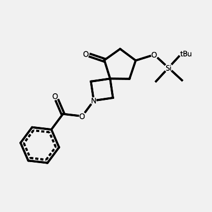 CC(C)(C)[Si](C)(C)OC1CC(=O)C2(C1)CN(OC(=O)c1ccccc1)C2